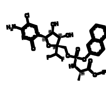 CC(C)OC(=O)[C@H](C)NP(=O)(OC[C@@]1(C(F)F)O[C@@H](n2cc(Cl)c(N)nc2=O)[C@@H](O)[C@@H]1O)Oc1ccc2ccccc2c1